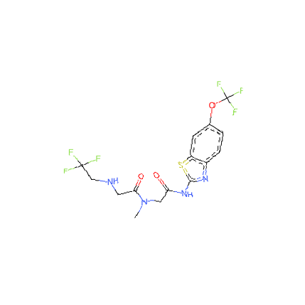 CN(CC(=O)Nc1nc2ccc(OC(F)(F)F)cc2s1)C(=O)CNCC(F)(F)F